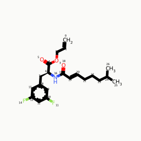 C=CCOC(=O)[C@H](Cc1cc(F)cc(F)c1)NC(=O)/C=C/CCCC(C)C